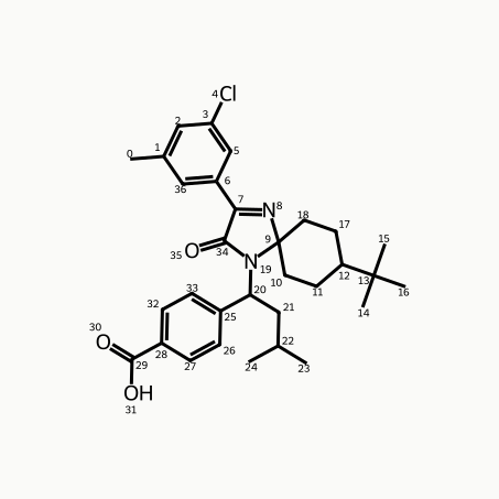 Cc1cc(Cl)cc(C2=NC3(CCC(C(C)(C)C)CC3)N(C(CC(C)C)c3ccc(C(=O)O)cc3)C2=O)c1